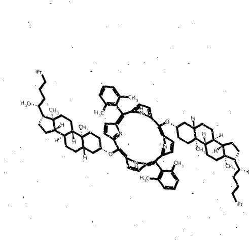 Cc1cccc(C)c1-c1c2nc(c(O[C@H]3CC[C@@]4(C)[C@@H](CC[C@@H]5[C@@H]4CC[C@]4(C)[C@@H]([C@H](C)CCCC(C)C)CC[C@@H]54)C3)c3ccc([nH]3)c(-c3c(C)cccc3C)c3nc(c(O[C@H]4CC[C@@]5(C)[C@@H](CC[C@@H]6[C@@H]5CC[C@]5(C)[C@@H]([C@H](C)CCCC(C)C)CC[C@@H]65)C4)c4ccc1[nH]4)C=C3)C=C2